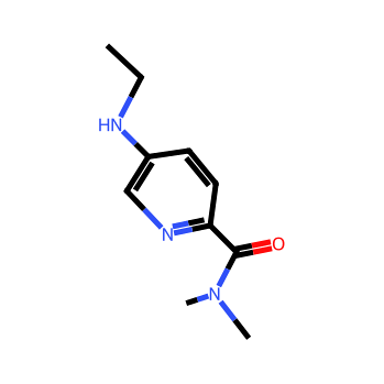 CCNc1ccc(C(=O)N(C)C)nc1